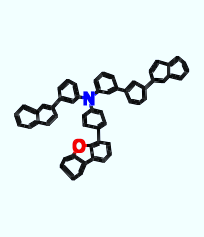 c1cc(-c2cccc(N(c3ccc(-c4cccc5c4oc4ccccc45)cc3)c3cccc(-c4ccc5ccccc5c4)c3)c2)cc(-c2ccc3ccccc3c2)c1